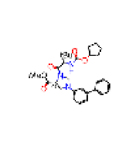 COC(=O)[C@@H]1CN(c2cccc(-c3ccccc3)c2)CN1C(=O)C(NC(=O)OC1CCCC1)C(C)(C)C